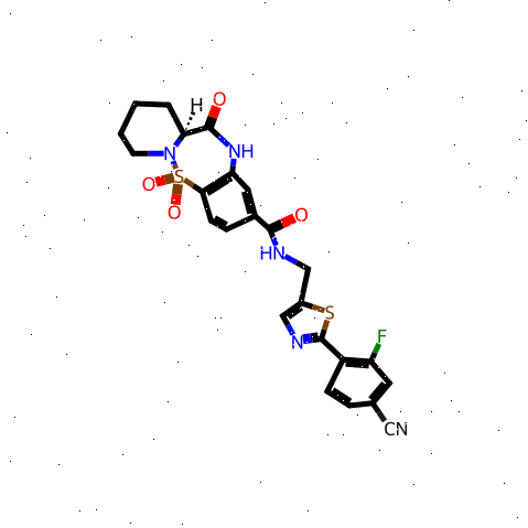 N#Cc1ccc(-c2ncc(CNC(=O)c3ccc4c(c3)NC(=O)[C@@H]3CCCCN3S4(=O)=O)s2)c(F)c1